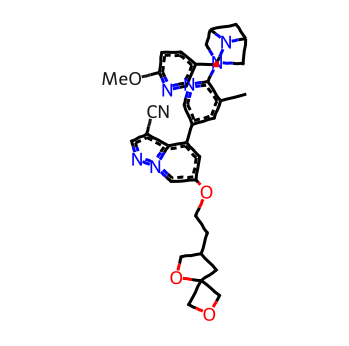 COc1ccc(CN2C3CC2CN(c2ncc(-c4cc(OCCC5COC6(COC6)C5)cn5ncc(C#N)c45)cc2C)C3)cn1